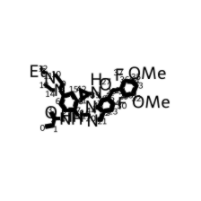 C=CC(=O)Nc1cc(N2CCN(CC)CC2)ccc1Nc1ncc2ccc(C(=O)c3c(F)c(OC)cc(OC)c3F)c(NC3CC3)c2n1